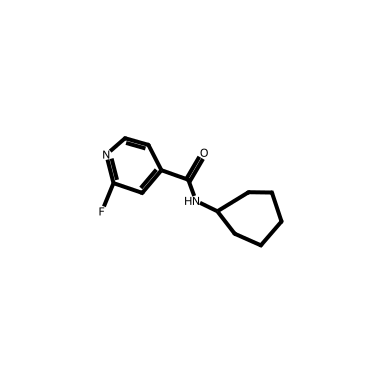 O=C(NC1CCCCC1)c1ccnc(F)c1